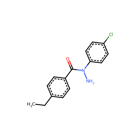 CCc1ccc(C(=O)N(N)c2ccc(Cl)cc2)cc1